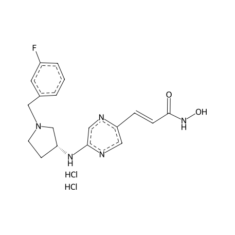 Cl.Cl.O=C(/C=C/c1cnc(N[C@@H]2CCN(Cc3cccc(F)c3)C2)cn1)NO